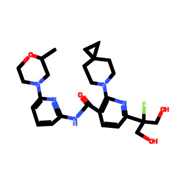 CC1CN(c2cccc(NC(=O)c3ccc(C(F)(CO)CO)nc3N3CCC4(CC3)CC4)n2)CCO1